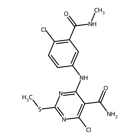 CNC(=O)c1cc(Nc2nc(SC)nc(Cl)c2C(N)=O)ccc1Cl